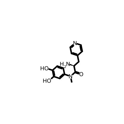 CN(C(=O)[C@@H](N)Cc1ccncc1)c1ccc(O)c(O)c1